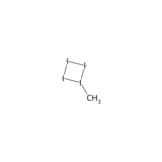 CI1[I][I][I]1